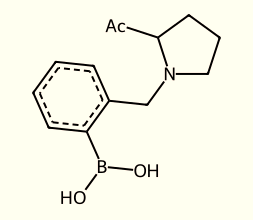 CC(=O)C1CCCN1Cc1ccccc1B(O)O